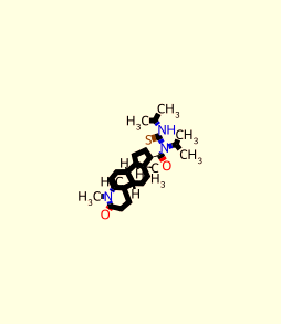 CC(C)NC(=S)N(C(=O)[C@H]1CC[C@H]2[C@@H]3CC=C4N(C)C(=O)CC[C@]4(C)[C@H]3CC[C@]12C)C(C)C